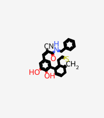 C=C1CC=CC(c2cc(C=C(C#N)C(=O)NCc3ccccc3)cc(O)c2O)=C1CC=S